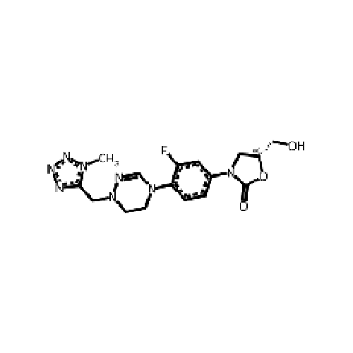 Cn1nnnc1CN1CCN(c2ccc(N3C[C@H](CO)OC3=O)cc2F)C=N1